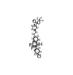 CC(C)(C)OC(=O)N1CC[C@H](CCc2ccc(N[C@@H](c3ccc(Cl)cc3)C(F)(F)F)cc2)C1